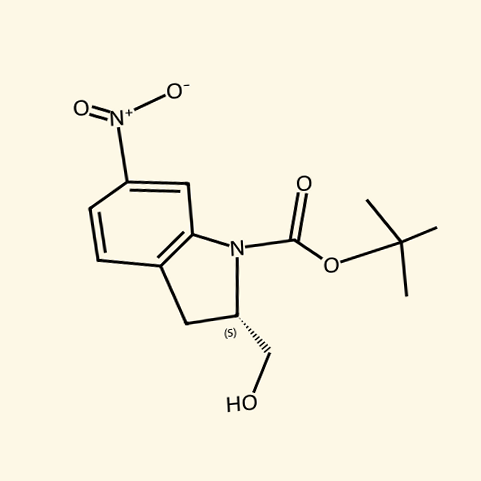 CC(C)(C)OC(=O)N1c2cc([N+](=O)[O-])ccc2C[C@H]1CO